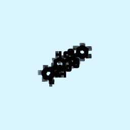 COC(=O)C(C)(C1CCc2c([nH]c3c(F)cccc23)C1)S(=O)(=O)c1ccccc1